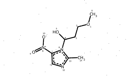 COCCC(O)n1c([N+](=O)[O-])cnc1C